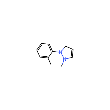 Cc1ccccc1N1CC=CN1C